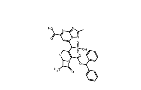 Cc1nc2nc(C(=O)O)cc(C(C3=C(C(=O)OC(c4ccccc4)c4ccccc4)N4C(=O)C(N)C4SC3)S(=O)(=O)O)n2n1